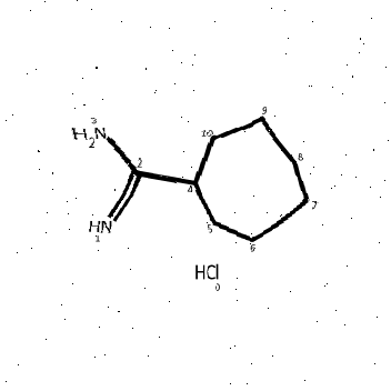 Cl.N=C(N)C1CCCCCC1